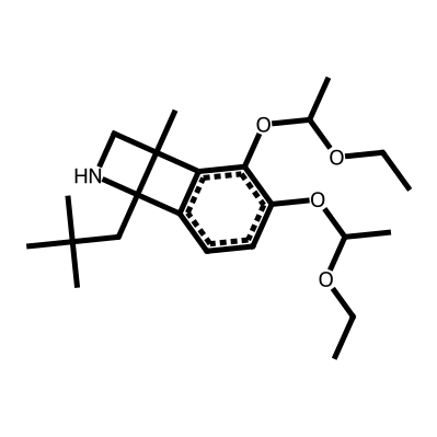 CCOC(C)Oc1ccc2c(c1OC(C)OCC)C1(C)CNC21CC(C)(C)C